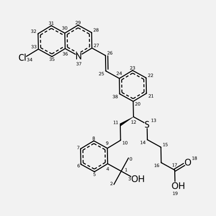 CC(C)(O)c1ccccc1CC[C@H](SCCCC(=O)O)c1cccc(C=Cc2ccc3ccc(Cl)cc3n2)c1